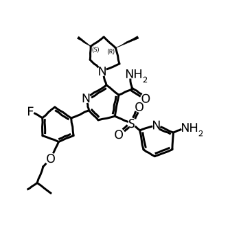 CC(C)COc1cc(F)cc(-c2cc(S(=O)(=O)c3cccc(N)n3)c(C(N)=O)c(N3C[C@H](C)C[C@H](C)C3)n2)c1